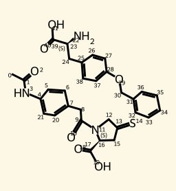 CC(=O)Nc1ccc(CC(=O)N2CC(=S)C[C@H]2C(=O)O)cc1.N[C@@H](Cc1ccc(OCc2ccccc2)cc1)C(=O)O